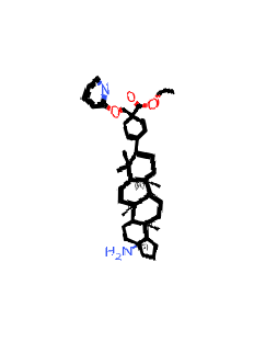 CCOC(=O)C1(COc2ccccn2)CC=C(C2=CC[C@@]3(C)C(CC[C@]4(C)C3CC[C@]3(C)C5CCC[C@]5(N)CCC43)C2(C)C)CC1